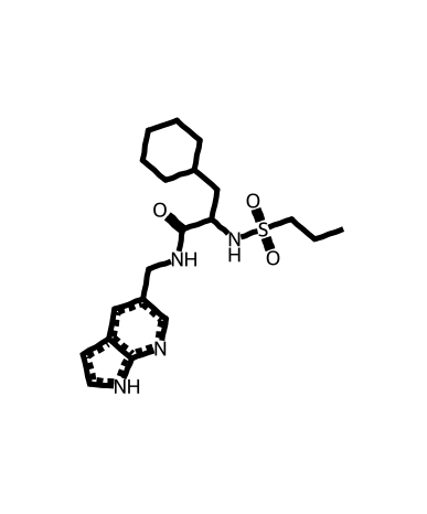 CCCS(=O)(=O)NC(CC1CCCCC1)C(=O)NCc1cnc2[nH]ccc2c1